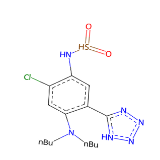 CCCCN(CCCC)c1cc(Cl)c(N[SH](=O)=O)cc1-c1nnn[nH]1